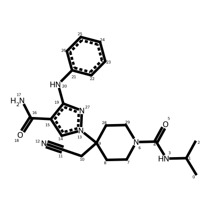 CC(C)NC(=O)N1CCC(CC#N)(n2cc(C(N)=O)c(Nc3ccccc3)n2)CC1